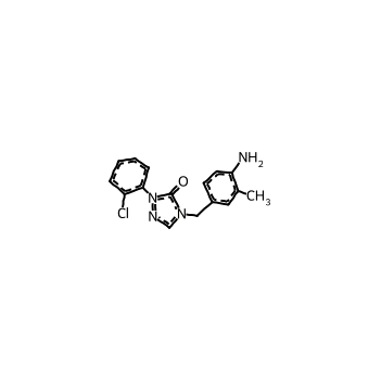 Cc1cc(Cn2cnn(-c3ccccc3Cl)c2=O)ccc1N